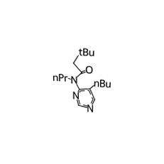 CCCCc1cncnc1N(CCC)C(=O)CC(C)(C)C